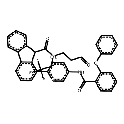 Cc1cc(NC(=O)c2ccccc2Oc2ccccc2)cnc1-c1cccc2c1C(C(=O)N(CCC=O)CC(F)(F)F)c1ccccc1-2